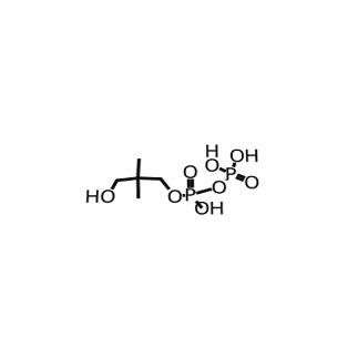 CC(C)(CO)COP(=O)(O)OP(=O)(O)O